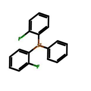 Fc1ccccc1[S+](c1ccccc1)c1ccccc1F